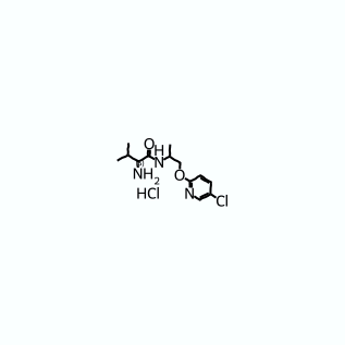 CC(COc1ccc(Cl)cn1)NC(=O)[C@@H](N)C(C)C.Cl